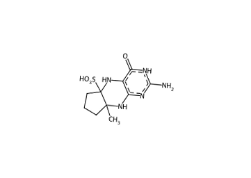 CC12CCCC1(S(=O)(=O)O)Nc1c(nc(N)[nH]c1=O)N2